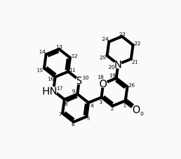 O=c1cc(-c2cccc3c2Sc2ccccc2N3)oc(N2CCCCC2)c1